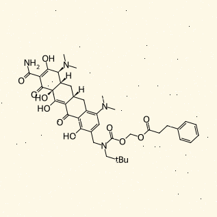 CN(C)c1cc(CN(CC(C)(C)C)C(=O)OCOC(=O)CCc2ccccc2)c(O)c2c1C[C@H]1C[C@H]3[C@H](N(C)C)C(O)=C(C(N)=O)C(=O)[C@@]3(O)C(O)=C1C2=O